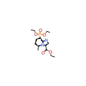 CCOC(=O)c1cnc2c(P(=O)(OCC)OCC)ccc(C)n12